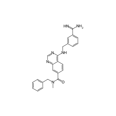 CN(Cc1ccccc1)C(=O)c1ccc2c(NCc3cccc(C(=N)N)c3)ncnc2c1